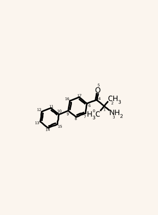 CC(C)(N)C(=O)c1ccc(-c2ccccc2)cc1